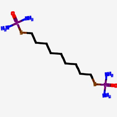 NP(N)(=O)SCCCCCCCCCSP(N)(N)=O